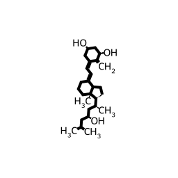 C=C1/C(=C\C=C2CCC[C@@]3(C)C2CC[C@@H]3[C@H](C)C[C@@H](O)CC(C)C)C[C@@H](O)C[C@H]1O